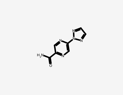 NC(=O)c1cnc(-n2nccn2)cn1